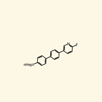 CCCCCCCc1ccc(-c2ccc(-c3ccc(F)nc3)cc2)cc1